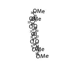 COCCOCCOCCOCCOC.COCCOCCOCCOCCOCCOCCOC